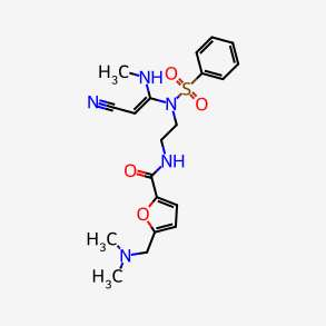 CNC(=CC#N)N(CCNC(=O)c1ccc(CN(C)C)o1)S(=O)(=O)c1ccccc1